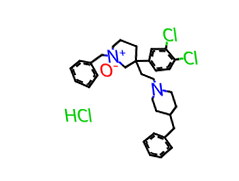 Cl.[O-][N+]1(Cc2ccccc2)CCCC(CCN2CCC(Cc3ccccc3)CC2)(c2ccc(Cl)c(Cl)c2)C1